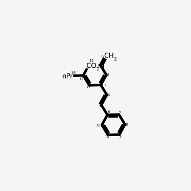 C=CC=C(C=Cc1ccccc1)C=C(CCC)C(=O)O